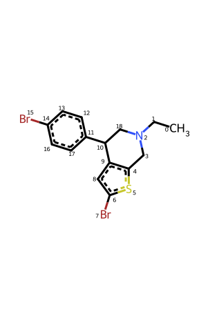 CCN1Cc2sc(Br)cc2C(c2ccc(Br)cc2)C1